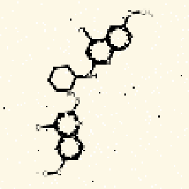 COc1ccc2nc(NC3CCCC[C@H]3Nc3cc(Cl)c4cc(OC)ccc4n3)cc(Cl)c2c1